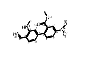 CNc1cc(-c2ccc([N+](=O)[O-])cc2C(=O)OC)ccc1C=N